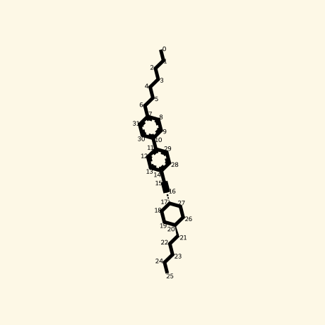 CCCCCCCc1ccc(-c2ccc(C#C[C@H]3CC[C@H](CCCCC)CC3)cc2)cc1